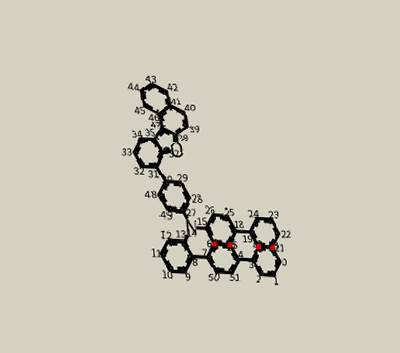 c1ccc(-c2ccc(-c3ccccc3N(c3ccc(-c4ccccc4)cc3)c3ccc(-c4cccc5c4oc4ccc6ccccc6c45)cc3)cc2)cc1